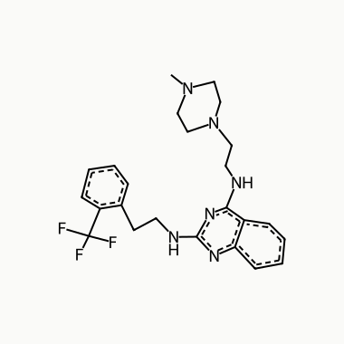 CN1CCN(CCNc2nc(NCCc3ccccc3C(F)(F)F)nc3ccccc23)CC1